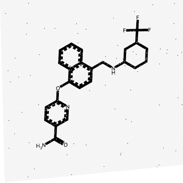 NC(=O)c1ccc(Oc2ccc(CNC3CCCC(C(F)(F)F)C3)c3ccccc23)nc1